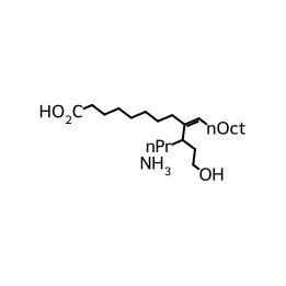 N.[CH2]CCC(CCO)/C(=C\CCCCCCCC)CCCCCCCC(=O)O